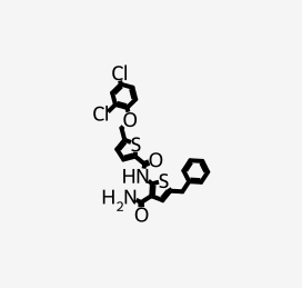 NC(=O)c1cc(Cc2ccccc2)sc1NC(=O)c1ccc(COc2ccc(Cl)cc2Cl)s1